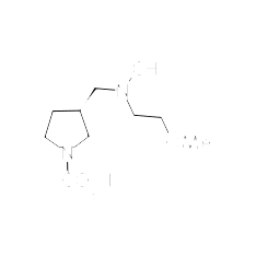 COCCN(C)C[C@@H]1CCN(C(=O)O)C1